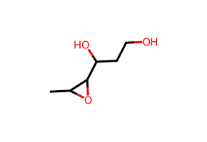 CC1OC1C(O)CCO